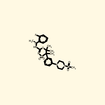 C[C@H](NC1=NS(=O)(=O)C(C)(c2cccc(N3CCN(S(C)(=O)=O)CC3)c2)C(C)(C)O1)c1ccccc1F